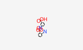 N#Cc1ccccc1C1OON(c2cccc(C(=O)O)c2)O1